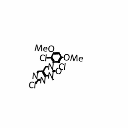 COc1cc(OC)c(Cl)c(N2Cc3cnc(Cl)nc3N(C)C2=O)c1Cl